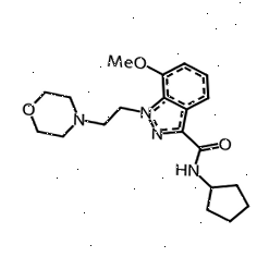 COc1cccc2c(C(=O)NC3CCCC3)nn(CCN3CCOCC3)c12